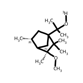 [3H]OC(C)(C)C12CC([C@H](C)C1)[C@](C)(OC)C2(C)C